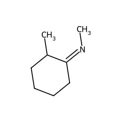 C/N=C1/CCCCC1C